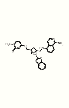 Cn1ccc(OCC23CN(c4nc5ccccc5o4)C(CNc4cccc5c(N)nccc45)(C2)C3)cc1=O